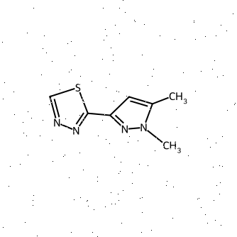 Cc1cc(-c2nncs2)nn1C